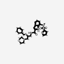 CN(c1cccc2cc(C(=O)NCC(CN3CCOCC3)SCC3C=CCCC3)[nH]c12)S(=O)(=O)c1cccs1